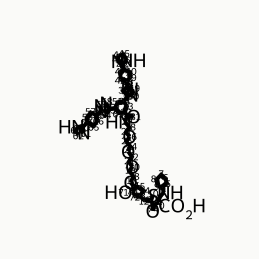 O=C(O)C1=C(Nc2ccccc2)S/C(=C\c2ccc(OCCOCCOCCOCCNC(=O)c3cc(-c4cn(-c5ccc(C6=NCCN6)cc5)nn4)cc(-c4cn(-c5ccc(C6=NCCN6)cc5)nn4)c3)c(O)c2)C1=O